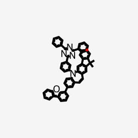 CC1(C)c2ccccc2-c2cc3c(cc21)C=Cc1cc(-c2cccc4c2oc2ccccc24)ccc1N3c1cccc(-c2nc(-c3ccccc3)nc(-c3ccccc3)n2)c1